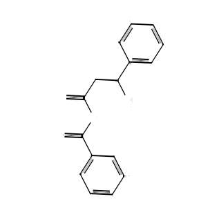 O=C(CC(O)c1ccccc1)OC(=O)c1ccccc1